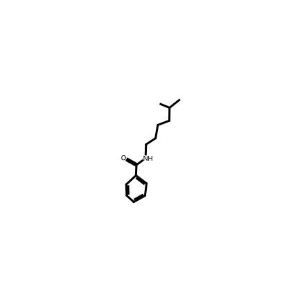 CC(C)CCCCNC(=O)c1ccccc1